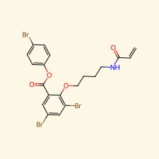 C=CC(=O)NCCCCOc1c(Br)cc(Br)cc1C(=O)Oc1ccc(Br)cc1